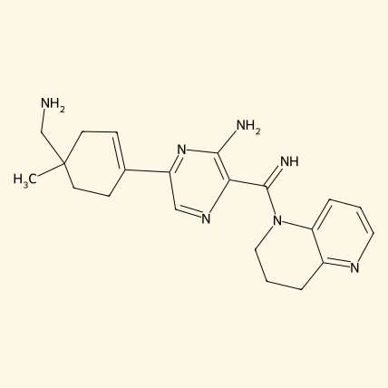 CC1(CN)CC=C(c2cnc(C(=N)N3CCCc4ncccc43)c(N)n2)CC1